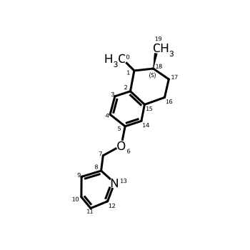 CC1c2ccc(OCc3ccccn3)cc2CC[C@@H]1C